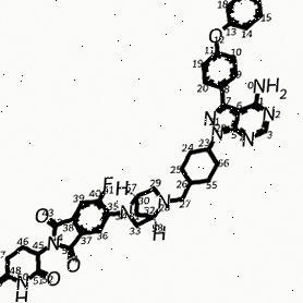 Nc1ncnc2c1c(-c1ccc(Oc3ccccc3)cc1)nn2C1CCC(CN2C[C@H]3C[C@@H]2CN3c2cc3c(cc2F)C(=O)N(C2CCC(=O)NC2=O)C3=O)CC1